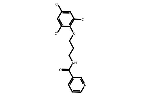 O=C(NCCCSc1c(Cl)cc(Cl)cc1Cl)c1cccnc1